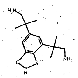 CC(C)(CN)c1cc2c(c(C(C)(C)CN)c1)SPO2